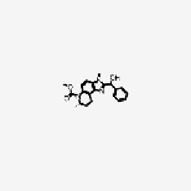 COC(=O)N1c2ccc3c(nc([C@@H](O)c4ccccc4)n3C)c2CC[C@@H]1C